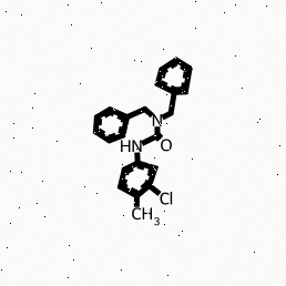 Cc1ccc(NC(=O)N(Cc2ccccc2)Cc2ccccc2)cc1Cl